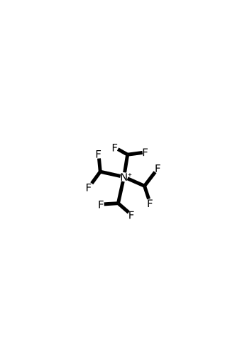 FC(F)[N+](C(F)F)(C(F)F)C(F)F